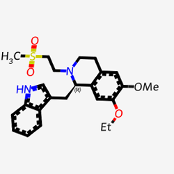 CCOc1cc2c(cc1OC)CCN(CCS(C)(=O)=O)[C@@H]2Cc1c[nH]c2ccccc12